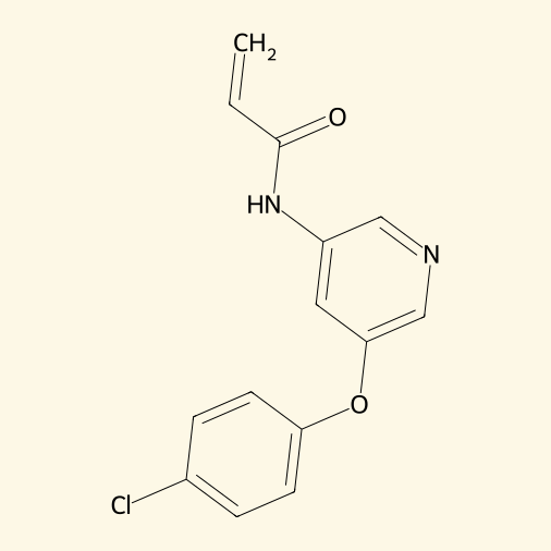 C=CC(=O)Nc1cncc(Oc2ccc(Cl)cc2)c1